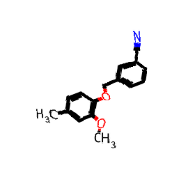 COc1cc(C)ccc1OCc1cccc(C#N)c1